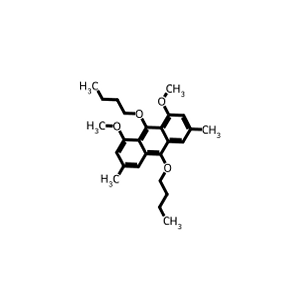 CCCCOc1c2cc(C)cc(OC)c2c(OCCCC)c2c(OC)cc(C)cc12